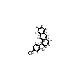 Clc1ccc2c(c1)sc1ccc3cc4ccccc4cc3c12